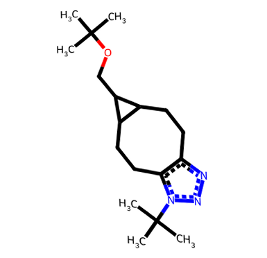 CC(C)(C)OCC1C2CCc3nnn(C(C)(C)C)c3CCC21